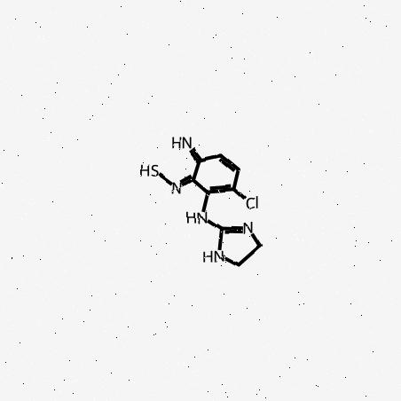 N=C1C=CC(Cl)=C(NC2=NCCN2)/C1=N/S